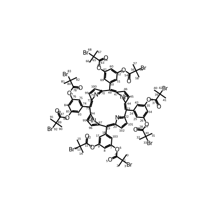 CC(C)(Br)C(=O)Oc1cc(OC(=O)C(C)(C)Br)cc(-c2c3nc(c(-c4cc(OC(=O)C(C)(C)Br)cc(OC(=O)C(C)(C)Br)c4)c4ccc([nH]4)c(-c4cc(OC(=O)C(C)(C)Br)cc(OC(=O)C(C)(C)Br)c4)c4nc(c(-c5cc(OC(=O)C(C)(C)Br)cc(OC(=O)C(C)(C)Br)c5)c5ccc2[nH]5)C=C4)C=C3)c1